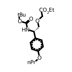 CCCOc1ccc([C@@H](COCC(=O)OCC)NC(=O)OC(C)(C)C)cc1